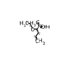 C=CCC(OCC)N(C)O